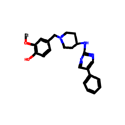 CCOc1cc(CN2CCC(Nc3ncc(-c4ccccc4)cn3)CC2)ccc1O